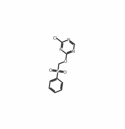 O=S(=O)(COc1n[c]nc(Cl)n1)c1ccccc1